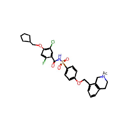 CC(=O)N1CCc2cccc(COc3ccc(S(=O)(=O)NC(=O)c4cc(Cl)c(OCC5CCCC5)cc4F)cc3)c2C1